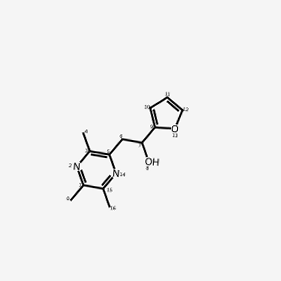 Cc1nc(C)c(CC(O)c2ccco2)nc1C